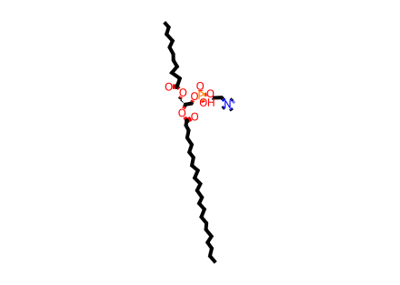 CCCCCCCCCCCCCCCCCCCCCCC(=O)O[C@H](COC(=O)CCCCCCCCCC)COP(=O)(O)OCC[N+](C)(C)C